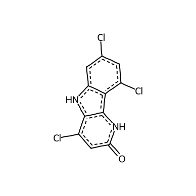 O=c1cc(Cl)c2[nH]c3cc(Cl)cc(Cl)c3c2[nH]1